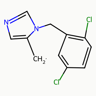 [CH2]c1cncn1Cc1cc(Cl)ccc1Cl